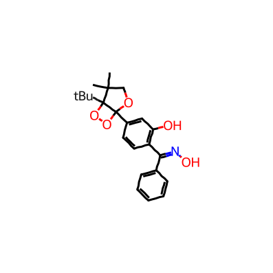 CC(C)(C)C12OOC1(c1ccc(C(=NO)c3ccccc3)c(O)c1)OCC2(C)C